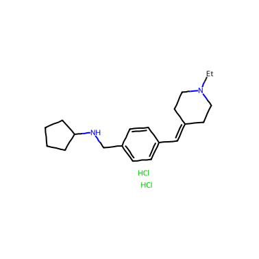 CCN1CCC(=Cc2ccc(CNC3CCCC3)cc2)CC1.Cl.Cl